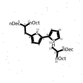 CCCCCCCCCCC(CCCCCCCC)Cc1ccc(C2=CC=C[SH]2CC(CCCCCCCC)CCCCCCCCCC)s1